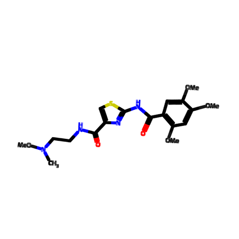 COc1cc(OC)c(C(=O)Nc2nc(C(=O)NCCN(C)OC)cs2)cc1OC